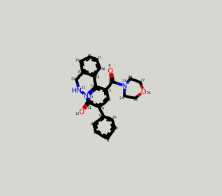 O=C(c1cc(-c2ccccc2)c(=O)n2c1-c1ccccc1CN2)N1CCOCC1